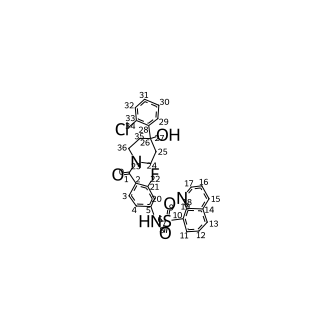 O=C(c1ccc(NS(=O)(=O)c2cccc3cccnc23)cc1F)N1CCC(O)(c2ccccc2Cl)CC1